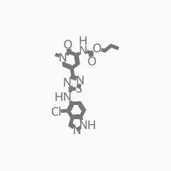 CCCOC(=O)Nc1cc(-c2nsc(Nc3ccc4[nH]ncc4c3Cl)n2)cn(C)c1=O